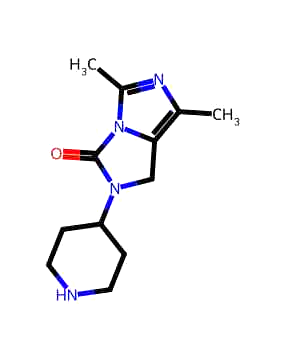 Cc1nc(C)n2c1CN(C1CCNCC1)C2=O